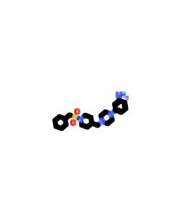 Nc1cccc(N2CCN(CC3CCN(S(=O)(=O)CC4CCCCC4)CC3)CC2)c1